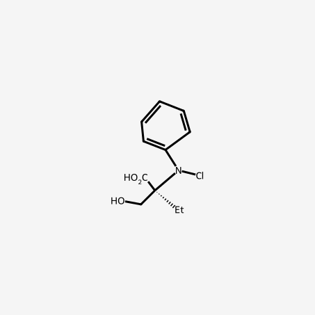 CC[C@](CO)(C(=O)O)N(Cl)c1ccccc1